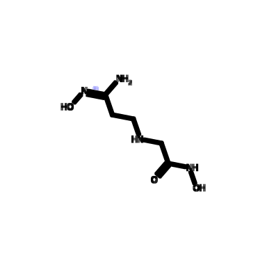 N/C(CCNCC(=O)NO)=N/O